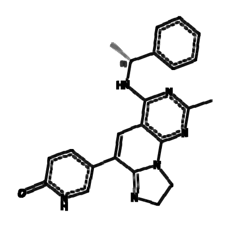 Cc1nc(N[C@H](C)c2ccccc2)c2c(n1)N1CCN=C1C(c1ccc(=O)[nH]c1)=C2